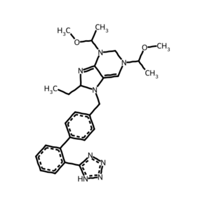 CCC1N=C2C(=CN(C(C)OC)CN2C(C)OC)N1Cc1ccc(-c2ccccc2-c2nnn[nH]2)cc1